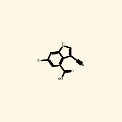 N#Cc1c[nH]c2cc(Br)cc(C(=O)O)c12